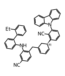 CCc1ccccc1-c1ccccc1Nc1cc(C#N)ccc1CC1=CC=C[C@H](c2cccc(-n3c4ccccc4c4ccccc43)c2C#N)C1